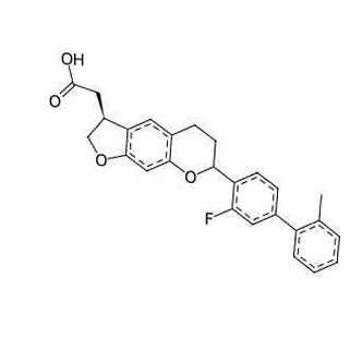 Cc1ccccc1-c1ccc(C2CCc3cc4c(cc3O2)OC[C@H]4CC(=O)O)c(F)c1